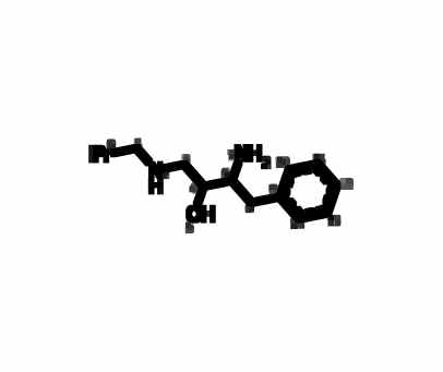 CC(C)CNCC(O)C(N)Cc1ccccc1